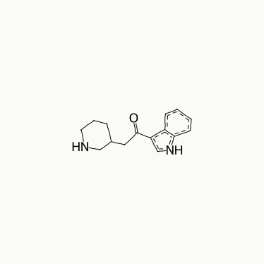 O=C(CC1CCCNC1)c1c[nH]c2ccccc12